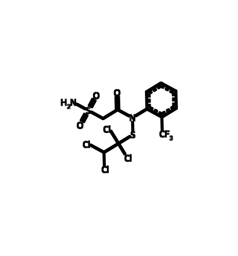 NS(=O)(=O)CC(=O)N(SC(Cl)(Cl)C(Cl)Cl)c1ccccc1C(F)(F)F